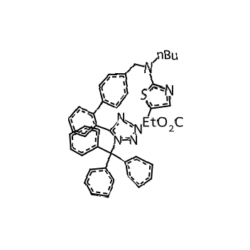 CCCCN(Cc1ccc(-c2ccccc2-c2nnnn2C(c2ccccc2)(c2ccccc2)c2ccccc2)cc1)c1ncc(C(=O)OCC)s1